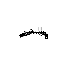 O=C(NCCCCCCOC(=O)N1CCC(OC(=O)N2CCC3(CCCC3)CC2)CC1)Oc1ccc(Oc2ccccc2)cc1